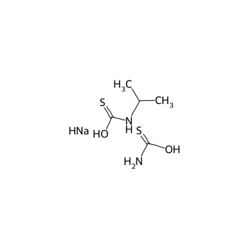 CC(C)NC(O)=S.NC(O)=S.[NaH]